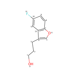 OCCCc1coc2ccc(F)cc12